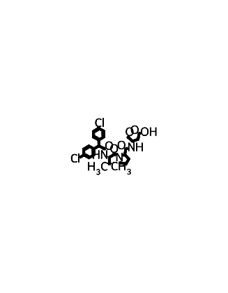 CC(C)[C@H](NC(=O)C(c1ccc(Cl)cc1)c1ccc(Cl)cc1)C(=O)N1CCCC1C(=O)NC(C=O)CC(=O)O